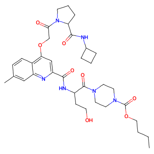 CCCCOC(=O)N1CCN(C(=O)C(CCO)NC(=O)c2cc(OCC(=O)N3CCCC3C(=O)NC3CCC3)c3ccc(C)cc3n2)CC1